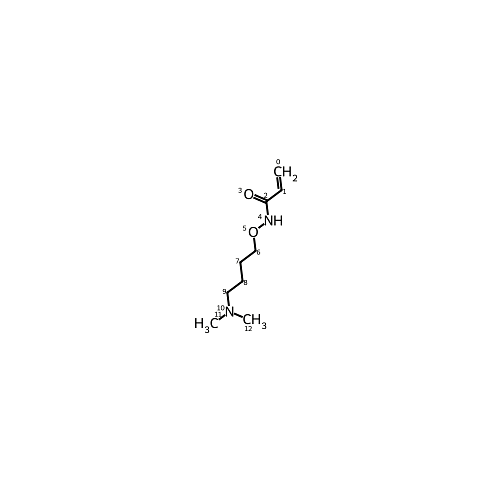 C=CC(=O)NOCCCCN(C)C